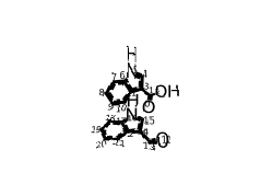 O=C(O)c1c[nH]c2ccccc12.O=Cc1c[nH]c2ccccc12